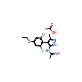 CC(=O)O.CCOc1cc(Cl)c(-c2c(C)n[nH]c2NC(C)=N)c(Cl)c1